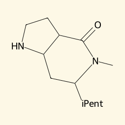 CCCC(C)C1CC2NCCC2C(=O)N1C